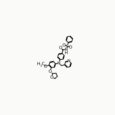 COc1ccc(N(Cc2cccnc2)c2ccc(C(=O)NS(=O)(=O)c3ccccc3)cc2)cc1OC1CCCO1